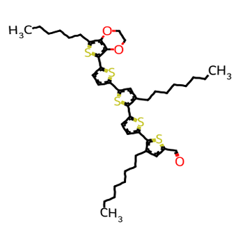 CCCCCCCCc1cc(C=O)sc1-c1ccc(-c2sc(-c3ccc(-c4sc(CCCCCC)c5c4OCCO5)s3)cc2CCCCCCCC)s1